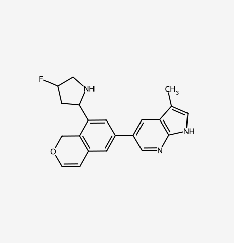 Cc1c[nH]c2ncc(-c3cc4c(c(C5CC(F)CN5)c3)COC=C4)cc12